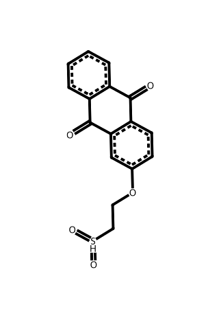 O=C1c2ccccc2C(=O)c2cc(OCC[SH](=O)=O)ccc21